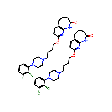 O=C1CCCc2ccc(OCCCCN3CCN(c4cccc(Cl)c4Cl)CC3)nc2N1.O=C1CCCc2ccc(OCCCCN3CCN(c4cccc(Cl)c4Cl)CC3)nc2N1